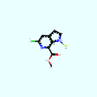 COC(=O)c1nc(Cl)cc2ccn(S)c12